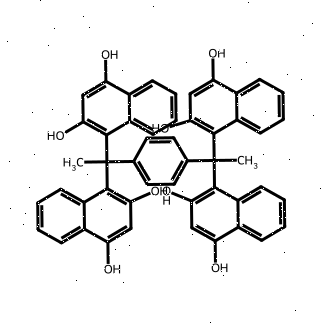 CC(c1ccc(C(C)(c2c(O)cc(O)c3ccccc23)c2c(O)cc(O)c3ccccc23)cc1)(c1c(O)cc(O)c2ccccc12)c1c(O)cc(O)c2ccccc12